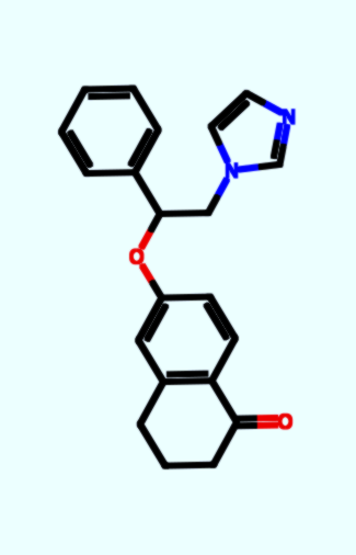 O=C1CCCc2cc(OC(Cn3ccnc3)c3ccccc3)ccc21